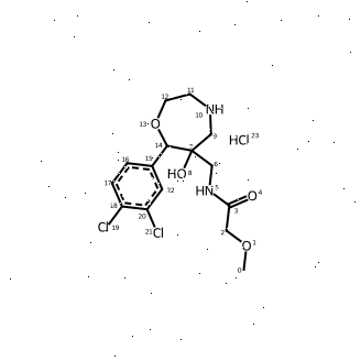 COCC(=O)NCC1(O)CNCCOC1c1ccc(Cl)c(Cl)c1.Cl